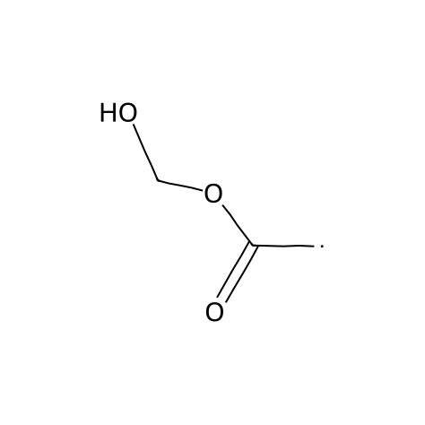 [CH2]C(=O)OCO